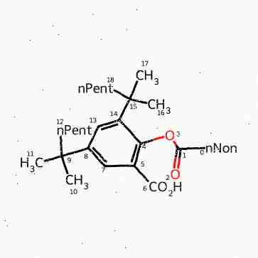 CCCCCCCCCC(=O)Oc1c(C(=O)O)cc(C(C)(C)CCCCC)cc1C(C)(C)CCCCC